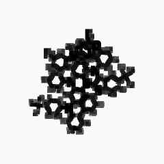 CC(C)(C)c1ccc(N(c2ccc3c(c2)N(c2ccccc2)c2cc([Si](C)(c4cccc(F)c4)c4cccc(F)c4)cc4c2B3c2sc3ccc(C(C)(C)C)cc3c2N4c2cccc3oc4ccccc4c23)c2ccccc2-c2ccccc2)cc1